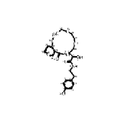 O=C1N[C@H](C(O)C(=O)NCCc2ccc(Cl)cc2)CCCCOCCOCc2ccccc21